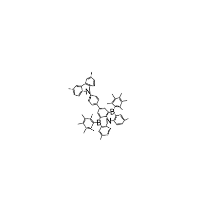 Cc1ccc2c(c1)B(c1c(C)c(C)c(C)c(C)c1C)c1cc(-c3ccc(-n4c5ccc(C)cc5c5cc(C)ccc54)cc3)cc3c1N2c1ccc(C)cc1B3c1c(C)c(C)c(C)c(C)c1C